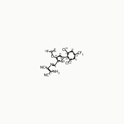 N#CC(N)=C(C#N)N=Cc1nn(-c2c(Cl)cc(C(F)(F)F)cc2Cl)cc1OC(F)F